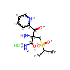 CCCC(CCC)S(=O)(=O)C[C@](N)(C(N)=O)C(=O)c1ccccn1.Cl